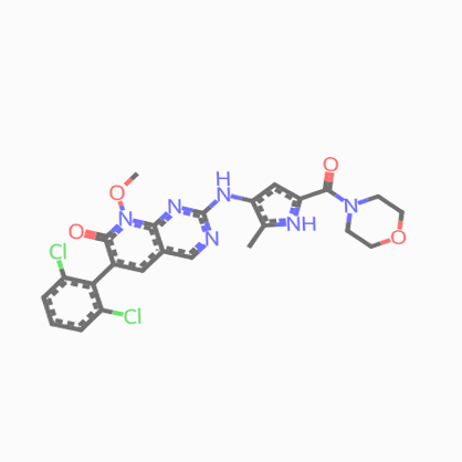 COn1c(=O)c(-c2c(Cl)cccc2Cl)cc2cnc(Nc3cc(C(=O)N4CCOCC4)[nH]c3C)nc21